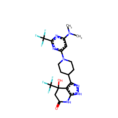 CN(C)c1cc(N2CCC(c3n[nH]c4c3C(O)(C(F)(F)F)CC(=O)N4)CC2)nc(C(F)(F)F)n1